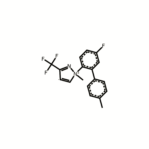 Cc1ccc(-c2cc(F)ccc2[N+]2(C)C=[C]C(C(F)(F)F)=N2)cc1